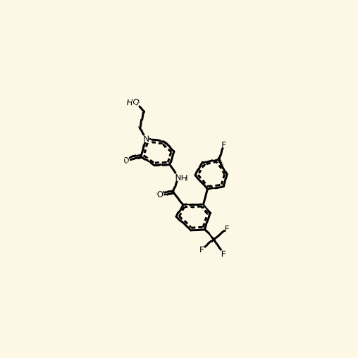 O=C(Nc1ccn(CCO)c(=O)c1)c1ccc(C(F)(F)F)cc1-c1ccc(F)cc1